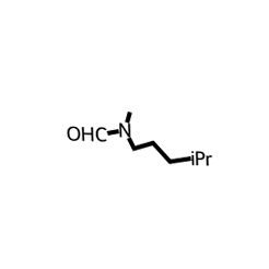 CC(C)CCCN(C)C=O